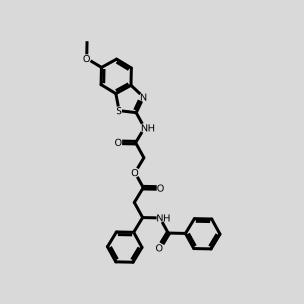 COc1ccc2nc(NC(=O)COC(=O)CC(NC(=O)c3ccccc3)c3ccccc3)sc2c1